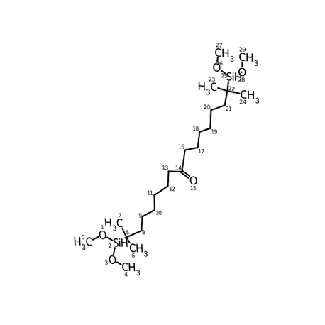 CO[SiH](OC)C(C)(C)CCCCCCC(=O)CCCCCCC(C)(C)[SiH](OC)OC